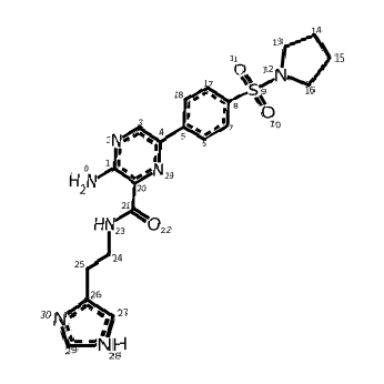 Nc1ncc(-c2ccc(S(=O)(=O)N3CCCC3)cc2)nc1C(=O)NCCc1c[nH]cn1